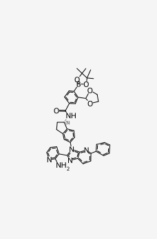 CC1(C)OB(c2ccc(C(=O)N[C@H]3CCc4cc(-n5c(-c6cccnc6N)nc6ccc(-c7ccccc7)nc65)ccc43)cc2C2OCCO2)OC1(C)C